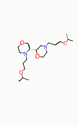 CC(C)OCCCN1CCOC([C@H]2COCCN2CCCOC(C)C)C1